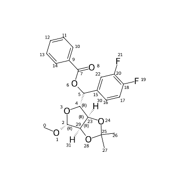 CO[C@@H]1O[C@H](C(OC(=O)c2ccccc2)c2ccc(F)c(F)c2)[C@H]2OC(C)(C)O[C@@H]12